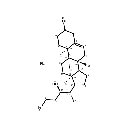 CC(C)CC[C@@H](O)[C@@H](C)[C@H]1CCC2[C@H]3CC=C4CC(O)CC[C@]4(C)[C@@H]3CC[C@@]21C.[Pb]